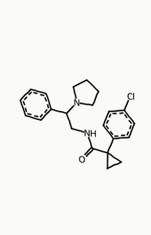 O=C(NCC(c1ccccc1)N1CCCC1)C1(c2ccc(Cl)cc2)CC1